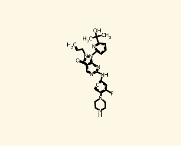 C=CCn1c(=O)c2cnc(Nc3ccc(N4CCNCC4)c(F)c3)nc2n1-c1cccc(C(C)(C)O)n1